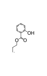 [CH2]CCOC(=O)c1ccccc1O